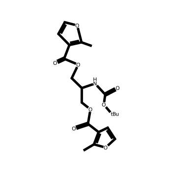 Cc1occc1C(=O)OCC(COC(=O)c1ccoc1C)NC(=O)OC(C)(C)C